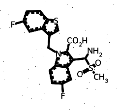 CS(=O)(=O)C(N)c1c(C(=O)O)n(Cc2csc3ccc(F)cc23)c2ccc(F)cc12